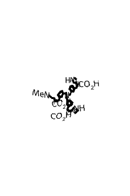 CNCCC[C@H](Cc1cccc(CN(Cc2cccc(C[C@H](C(=O)O)[C@H]3CCNC3)c2)Cc2cccc(C[C@H](C(=O)O)[C@H]3CCNC3)c2)c1)C(=O)O